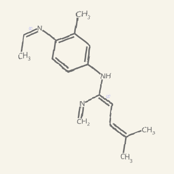 C=N/C(=C\C=C(C)C)Nc1ccc(/N=C\C)c(C)c1